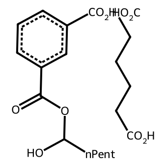 CCCCCC(O)OC(=O)c1cccc(C(=O)O)c1.O=C(O)CCCCC(=O)O